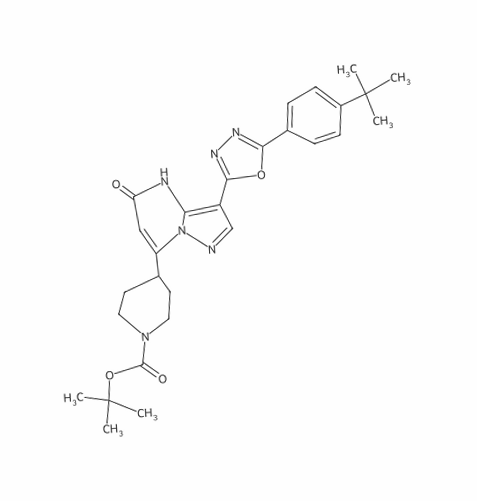 CC(C)(C)OC(=O)N1CCC(c2cc(=O)[nH]c3c(-c4nnc(-c5ccc(C(C)(C)C)cc5)o4)cnn23)CC1